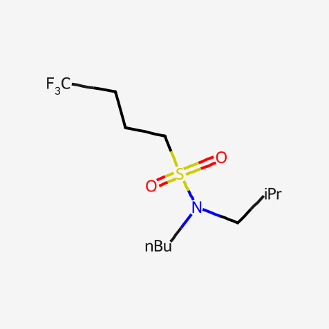 CCCCN(CC(C)C)S(=O)(=O)CCCC(F)(F)F